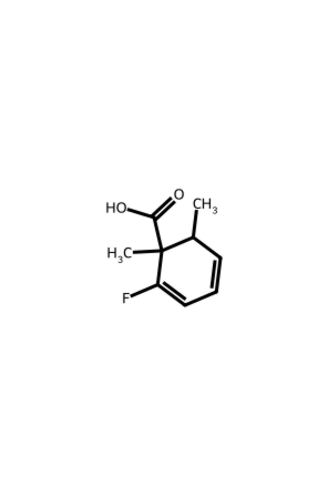 CC1C=CC=C(F)C1(C)C(=O)O